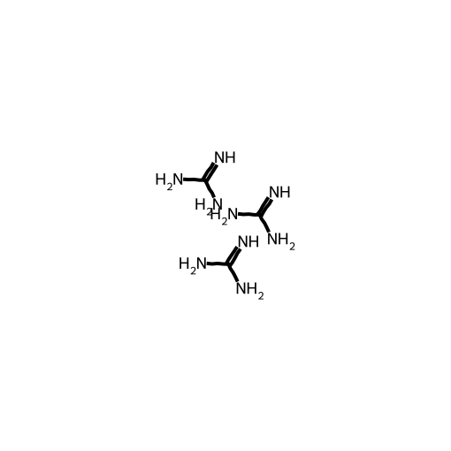 N=C(N)N.N=C(N)N.N=C(N)N